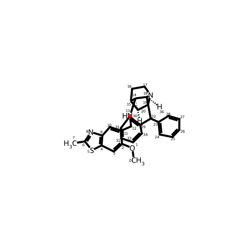 COc1cc2sc(C)nc2cc1CN[C@H]1C2CCN(CC2)[C@H]1C(c1ccccc1)c1ccccc1